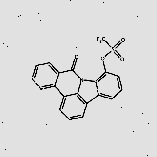 O=c1c2ccccc2c2cccc3c4cccc(OS(=O)(=O)C(F)(F)F)c4n1c23